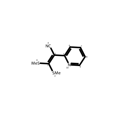 CSC(SC)=C(C#N)c1ccccn1